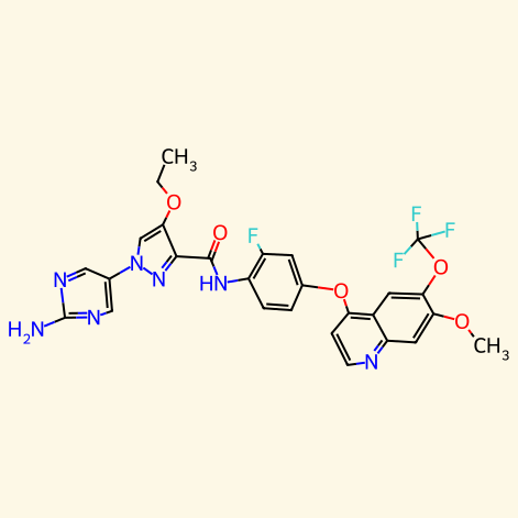 CCOc1cn(-c2cnc(N)nc2)nc1C(=O)Nc1ccc(Oc2ccnc3cc(OC)c(OC(F)(F)F)cc23)cc1F